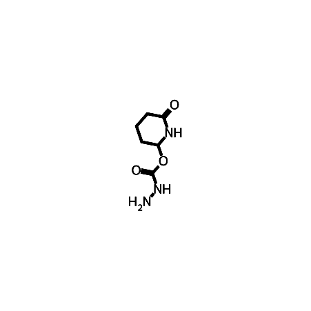 NNC(=O)OC1CCCC(=O)N1